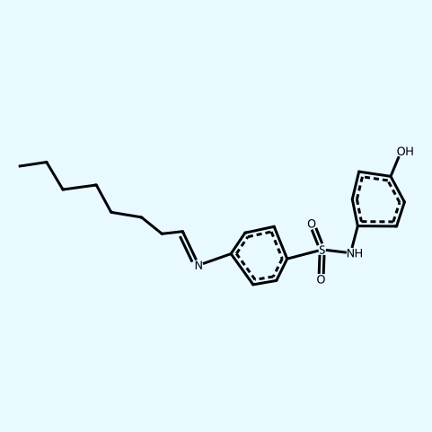 CCCCCCCC=Nc1ccc(S(=O)(=O)Nc2ccc(O)cc2)cc1